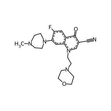 CN1CCN(c2cc3c(cc2F)c(=O)c(C#N)cn3CCN2CCOCC2)CC1